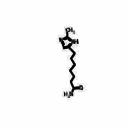 Cc1n[c]c(CCCCCCC(N)=O)[nH]1